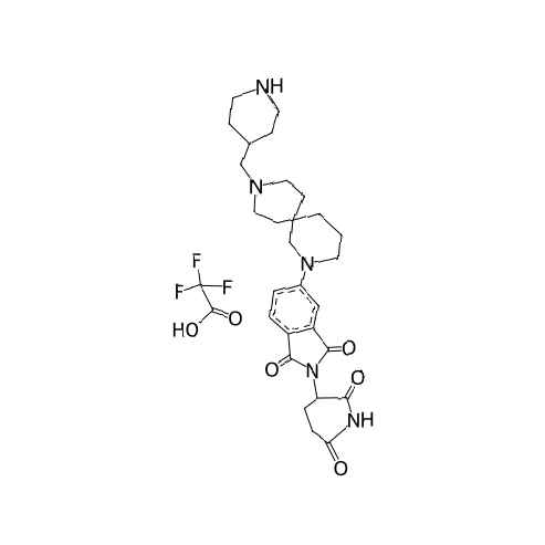 O=C(O)C(F)(F)F.O=C1CCC(N2C(=O)c3ccc(N4CCCC5(CCN(CC6CCNCC6)CC5)C4)cc3C2=O)C(=O)N1